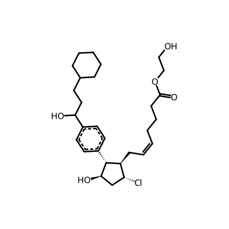 O=C(CCC/C=C\C[C@@H]1[C@@H](c2ccc(C(O)CCC3CCCCC3)cc2)[C@H](O)C[C@H]1Cl)OCCO